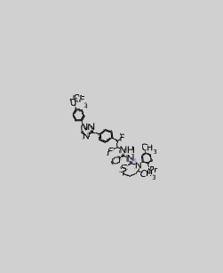 Cc1ccc(C(C)C)c(N2/C(=N/C(=O)NC(F)C(F)c3ccc(-c4ncn(-c5ccc(OC(F)(F)F)cc5)n4)cc3)SCCC2C)c1